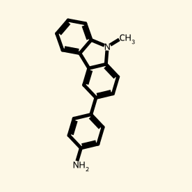 Cn1c2ccccc2c2cc(-c3ccc(N)cc3)ccc21